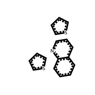 c1ccc2ncccc2c1.c1ccsc1.c1ccsc1